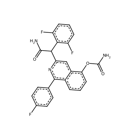 NC(=O)Oc1cccc2c(-c3ccc(F)cc3)nc(C(C(N)=O)c3c(F)cccc3F)cc12